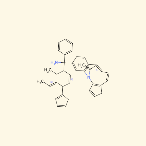 C=c1/c2c3ccc(C(N)(c4ccccc4)C(/C=C\C(/C=C/C)C4=CC=CC4)CC)cc3n1C1=C(C=C\C=2)CC=C1